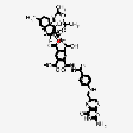 CC(=O)OC[C@]12CCC(C)=C[C@H]1O[C@@H]1[C@H](OC(=O)c3cc(C(=O)O)c(C(=O)NNC(=O)c4ccc(NCc5cnc6nc(N)[nH]c(=O)c6n5)cc4)cc3C(=O)O)[C@@H](OC(C)=O)[C@@]2(C)[C@@]12O[C@@H]2C